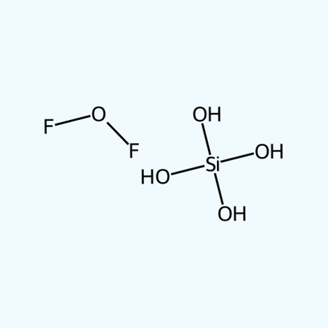 FOF.O[Si](O)(O)O